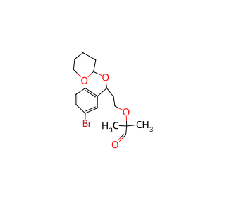 CC(C)(C=O)OCCC(OC1CCCCO1)c1cccc(Br)c1